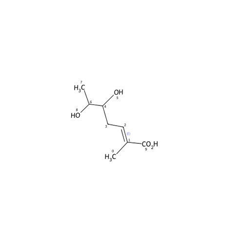 C/C(=C\CC(O)C(C)O)C(=O)O